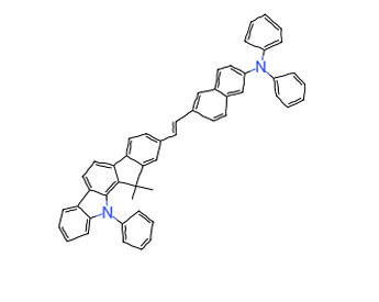 CC1(C)c2cc(/C=C/c3ccc4cc(N(c5ccccc5)c5ccccc5)ccc4c3)ccc2-c2ccc3c4ccccc4n(-c4ccccc4)c3c21